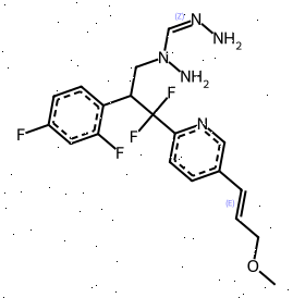 COC/C=C/c1ccc(C(F)(F)C(CN(N)/C=N\N)c2ccc(F)cc2F)nc1